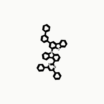 c1ccc(-c2cccc(-c3cc(-n4c5ccccc5c5c(-c6nc(-c7ccccc7)cc(-c7ccccc7)n6)cccc54)c4sc5ccccc5c4c3)c2)cc1